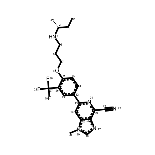 CC[C@@H](C)NCCCOc1ccc(-c2cc3c(ncn3C)c(C#N)n2)cc1C(F)(F)F